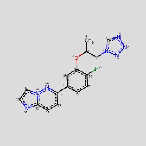 CC(Cn1cnnn1)Oc1cc(-c2ccc3nccn3n2)ccc1F